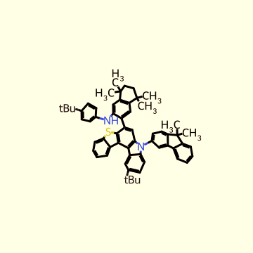 CC(C)(C)c1ccc(Nc2cc3c(cc2-c2cc4c(c5cc(C(C)(C)C)ccc5n4-c4ccc5c(c4)-c4ccccc4C5(C)C)c4c2sc2ccccc24)C(C)(C)CCC3(C)C)cc1